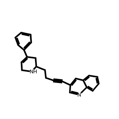 C(#Cc1cnc2ccccc2c1)CCC1CC(c2ccccc2)=CCN1